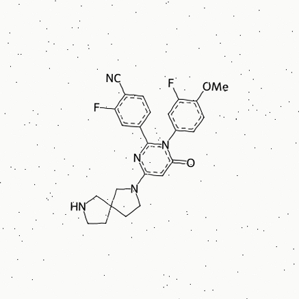 COc1ccc(-n2c(-c3ccc(C#N)c(F)c3)nc(N3CCC4(CCNC4)C3)cc2=O)cc1F